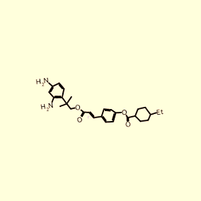 CCC1CCC(C(=O)Oc2ccc(/C=C/C(=O)OCC(C)(C)c3ccc(N)cc3N)cc2)CC1